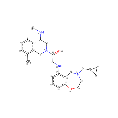 CC(C)NCCN(Cc1ccccc1C(F)(F)F)C(=O)CNc1cccc2c1CN(CC1CC1)CCO2